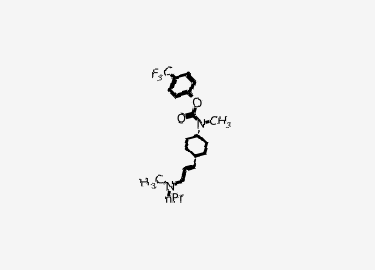 CCCN(C)C/C=C/[C@H]1CC[C@H](N(C)C(=O)Oc2ccc(C(F)(F)F)cc2)CC1